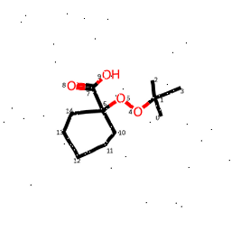 CC(C)(C)OOC1(C(=O)O)CCCCC1